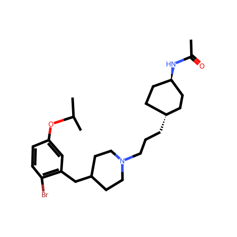 CC(=O)N[C@H]1CC[C@H](CCCN2CCC(Cc3cc(OC(C)C)ccc3Br)CC2)CC1